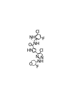 NC[C@@H](NC(=O)c1cc(-c2nc(NC3CCOCC3F)ncc2Cl)c[nH]1)c1cc(F)cc(Cl)c1